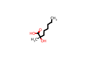 CCCCCC[C@](C)(O)C(=O)O